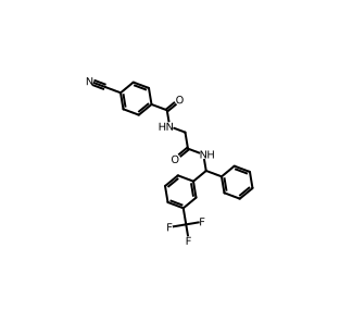 N#Cc1ccc(C(=O)NCC(=O)NC(c2ccccc2)c2cccc(C(F)(F)F)c2)cc1